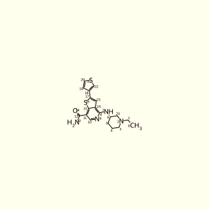 CCN1CCC[C@H](Nc2ncc(C(N)=O)c3sc(-c4ccsc4)cc23)C1